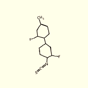 CC1CCC(C2CCC(N=C=S)C(F)C2)C(F)C1